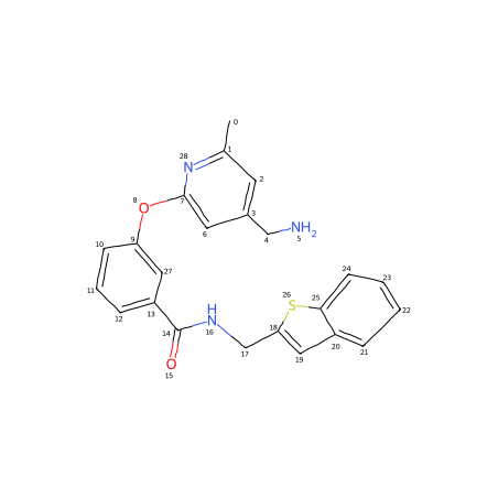 Cc1cc(CN)cc(Oc2cccc(C(=O)NCc3cc4ccccc4s3)c2)n1